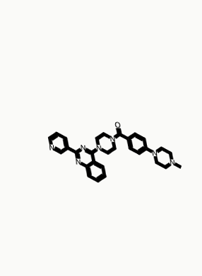 CN1CCN(c2ccc(C(=O)N3CCN(c4nc(-c5cccnc5)nc5ccccc45)CC3)cc2)CC1